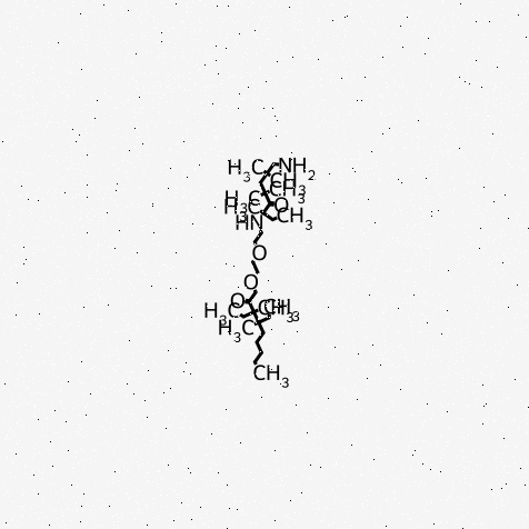 CCCCCC(C)(CC)C(C)(CC)C(=O)COCCOCCNC(C)(CC)C(=O)C(C)(C)CC(C)(C)CN